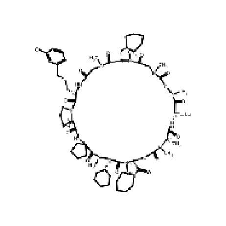 CC[C@H](C)[C@@H]1NC(=O)[C@H](C)N(C)C(=O)C[C@@H](C(=O)N2CCCCC2)N(C)C(=O)[C@H](C2CCCCC2)N(C)C(=O)C2(CCCC2)NC(=O)[C@@H]2CCCN2C(=O)[C@H](COCc2cccc(Cl)c2)NC(=O)CN(C)C(=O)[C@H](CC2CCCCC2)N(C)C(=O)CN(C)C(=O)CN(C)C1=O